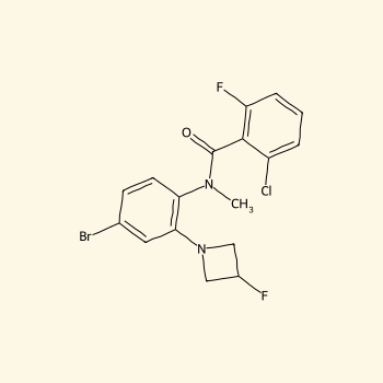 CN(C(=O)c1c(F)cccc1Cl)c1ccc(Br)cc1N1CC(F)C1